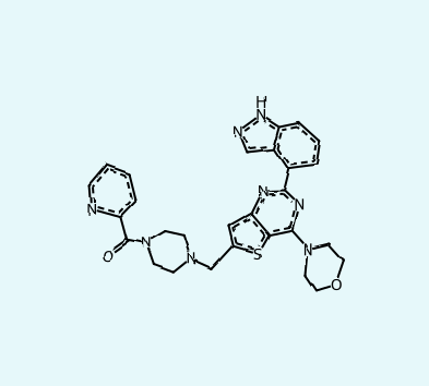 O=C(c1ccccn1)N1CCN(Cc2cc3nc(-c4cccc5[nH]ncc45)nc(N4CCOCC4)c3s2)CC1